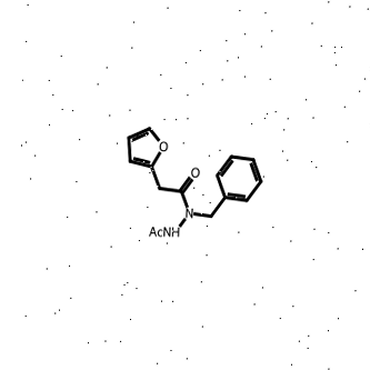 CC(=O)NN(Cc1ccccc1)C(=O)Cc1ccco1